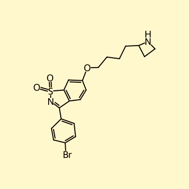 O=S1(=O)N=C(c2ccc(Br)cc2)c2ccc(OCCCCC3CCN3)cc21